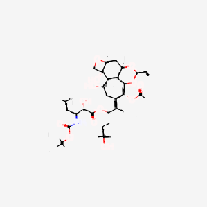 C=CC1O[C@H]2C[C@H]3OC[C@@]3(O)[C@H]3[C@H](O)C/C(=C(/C)[C@H](CCC(C)(C)O)OC(=O)[C@H](O)C(CC(C)C)NC(=O)OC(C)(C)C)[C@H](OC(C)=O)[C@H](O1)[C@]23C